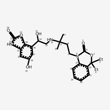 CCC1(CC)OC(=O)N(CCC(C)(C)NCC(O)c2cc(O)cc3[nH]c(=O)oc23)c2ccccc21